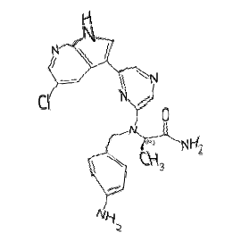 C[C@H](C(N)=O)N(Cc1ccc(N)cc1)c1cncc(-c2c[nH]c3ncc(Cl)cc23)n1